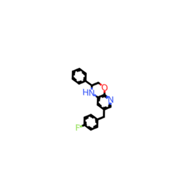 Fc1ccc(Cc2cnc3c(c2)NC(c2ccccc2)CO3)cc1